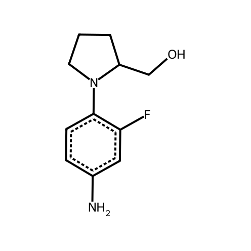 Nc1ccc(N2CCCC2CO)c(F)c1